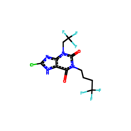 O=c1c2[nH]c(Cl)nc2n(CC(F)(F)F)c(=O)n1CCCC(F)(F)F